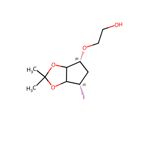 CC1(C)OC2C(O1)[C@H](OCCO)C[C@@H]2I